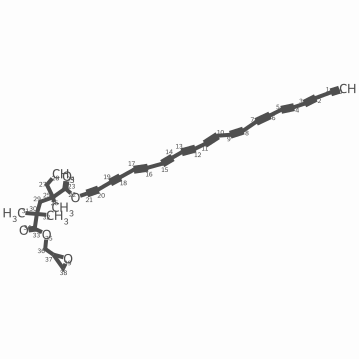 C#CC#CC#CC#CC#CC#CC#CC#CC#CC#CC#COC(=O)C(C)(CC)CC(C)(C)C(=O)OCC1CO1